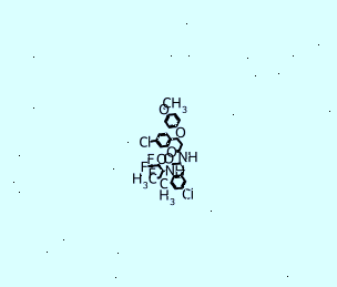 COc1ccc(OC(CC(=O)N[C@@H](Cc2cccc(Cl)c2)C(=O)N[C@H](C(=O)C(F)(F)F)C(C)C)c2ccc(Cl)cc2)cc1